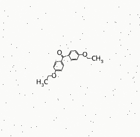 CCOc1ccc(C(=O)c2ccc(OCC)cc2)cc1